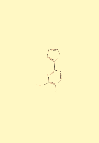 CNc1nc(-c2cccs2)ccc1[N+](=O)[O-]